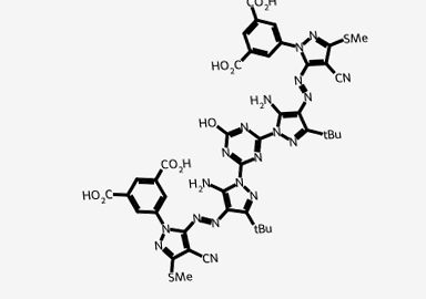 CSc1nn(-c2cc(C(=O)O)cc(C(=O)O)c2)c(N=Nc2c(C(C)(C)C)nn(-c3nc(O)nc(-n4nc(C(C)(C)C)c(N=Nc5c(C#N)c(SC)nn5-c5cc(C(=O)O)cc(C(=O)O)c5)c4N)n3)c2N)c1C#N